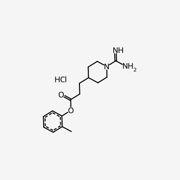 Cc1ccccc1OC(=O)CCC1CCN(C(=N)N)CC1.Cl